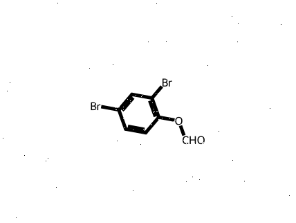 O=COc1ccc(Br)cc1Br